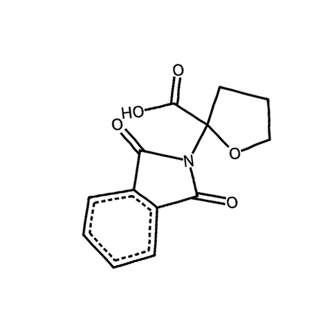 O=C1c2ccccc2C(=O)N1C1(C(=O)O)CCCO1